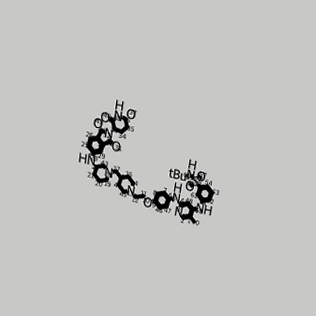 Cc1cnc(Nc2ccc(OCCN3CCC(CN4CCC[C@H](Nc5ccc6c(c5)C(=O)N(C5CCC(=O)NC5=O)C6=O)C4)CC3)cc2)cc1Nc1cccc(S(=O)(=O)NC(C)(C)C)c1